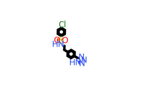 O=S(=O)(NCCc1ccc(-c2nnn[nH]2)cc1)c1ccc(Cl)cc1